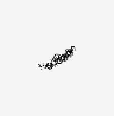 CCCCCO[C@H]1CC[C@H](C(=O)Oc2ccc(-c3ccc(F)cc3)cc2)CC1